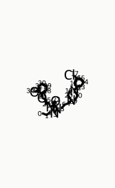 CCc1nn(CCCN2CCN(c3cccc(Cl)c3)CC2)c(=O)n1CCOc1ccccc1OC